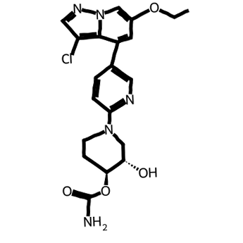 CCOc1cc(-c2ccc(N3CC[C@H](OC(N)=O)[C@@H](O)C3)nc2)c2c(Cl)cnn2c1